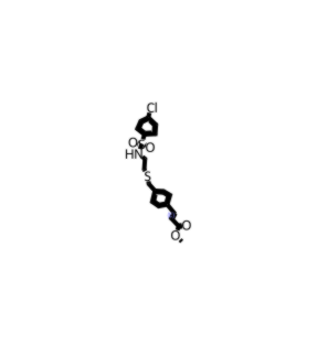 COC(=O)/C=C/c1ccc(CSCCNS(=O)(=O)c2ccc(Cl)cc2)cc1